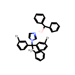 BC(c1ccccc1)c1ccccc1.CCc1cccc(C([SiH2]c2ccccc2)(c2cccc(CC)c2)n2ccnc2)c1